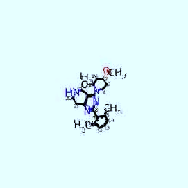 CO[C@@H]1CCN(c2nc(-c3c(C)cccc3C)nc3c2CNCC3)[C@H](C)C1